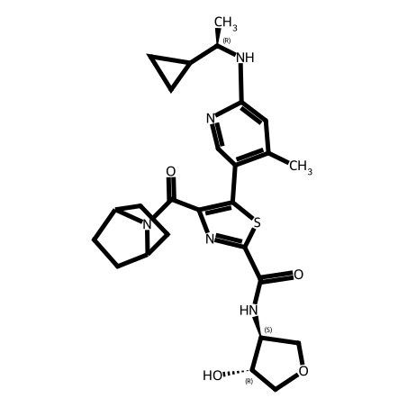 Cc1cc(N[C@H](C)C2CC2)ncc1-c1sc(C(=O)N[C@H]2COC[C@@H]2O)nc1C(=O)N1C2CCC1CC2